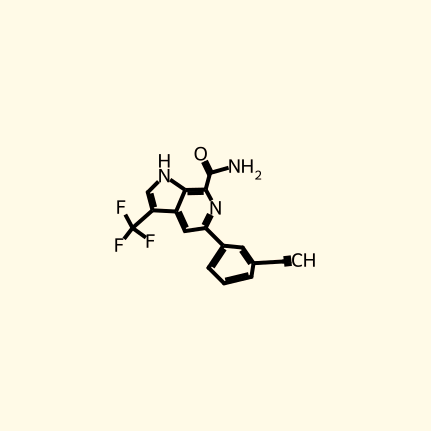 C#Cc1cccc(-c2cc3c(C(F)(F)F)c[nH]c3c(C(N)=O)n2)c1